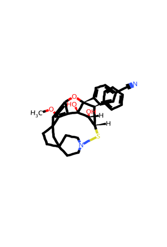 COC1=C2C3=CC14CCC1(CCN(CC1)S[C@@H]1[C@@H](O)[C@@]2(O)[C@](c2ccc(C#N)cc2)(O3)[C@H]1c1ccccc1)C4